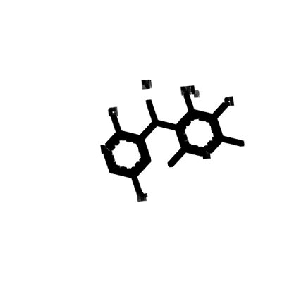 Cc1nc(C)c(C(C)c2cc(Br)cnc2Cl)c(N)c1Cl.[N]